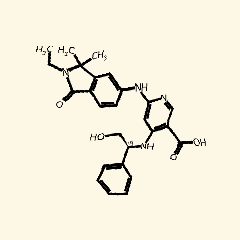 CCN1C(=O)c2ccc(Nc3cc(N[C@H](CO)c4ccccc4)c(C(=O)O)cn3)cc2C1(C)C